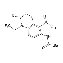 CC[C@@H]1COc2c(ccc(NC(=O)C(C)(C)C)c2C(=O)C(F)(F)F)N1CC(F)(F)F